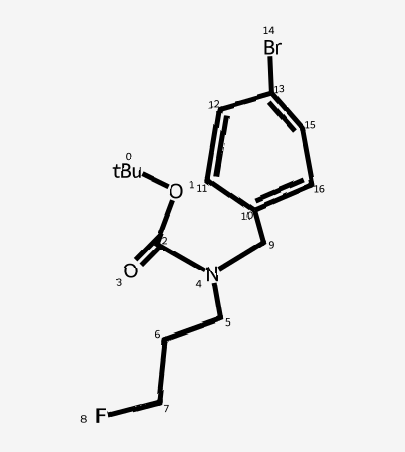 CC(C)(C)OC(=O)N(CCCF)Cc1ccc(Br)cc1